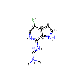 CN(C)/C=N/c1ncc(F)c2cc[nH]c12